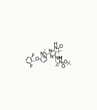 Cc1nc2c(OCc3c(F)cccc3F)cccn2c1-c1nc(NCC2(NC(=O)OC(C)(C)C)CC2)c2c(n1)NC(=O)C2(C)C